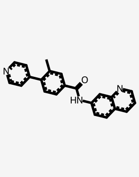 Cc1cc(C(=O)Nc2ccc3cccnc3c2)ccc1-c1ccncc1